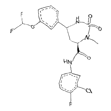 CN1[C@@H](C(=O)Nc2ccc(F)c(Cl)c2)CC(c2cccc(OC(F)F)c2)NS1(=O)=O